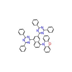 c1ccc(-c2nc(-c3ccccc3)nc(-c3cc(-c4nc(-c5ccccc5)nc(-c5ccccc5)n4)c4cccc(N5c6ccccc6Oc6ccccc65)c4c3)n2)cc1